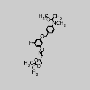 C=C(OC)N(C)c1ccc(COc2cc(F)cc(O/N=C/[C@@H]3COC(C)(C)O3)c2)cc1